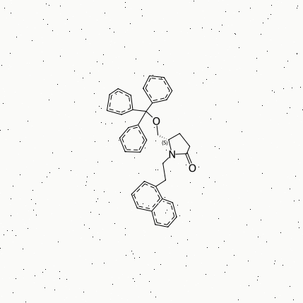 O=C1CC[C@@H](COC(c2ccccc2)(c2ccccc2)c2ccccc2)N1CCc1cccc2ccccc12